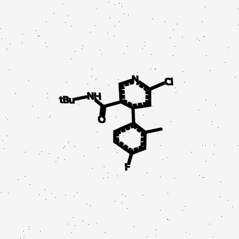 Cc1cc(F)ccc1-c1cc(Cl)ncc1C(=O)NC(C)(C)C